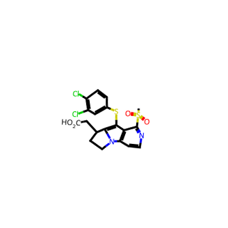 CS(=O)(=O)c1nccc2c1c(Sc1ccc(Cl)c(Cl)c1)c1n2CCC1CC(=O)O